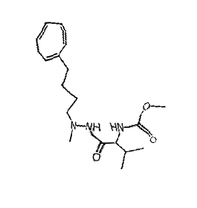 COC(=O)NC(C(=O)NN(C)CCCCc1ccccc1)C(C)C